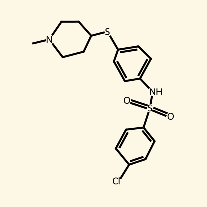 CN1CCC(Sc2ccc(NS(=O)(=O)c3ccc(Cl)cc3)cc2)CC1